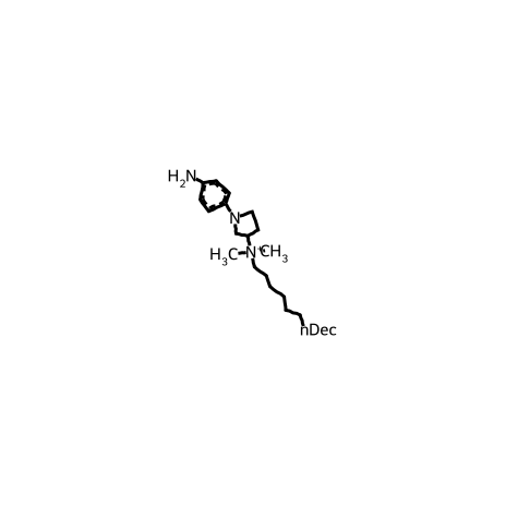 CCCCCCCCCCCCCCCC[N+](C)(C)C1CCN(c2ccc(N)cc2)C1